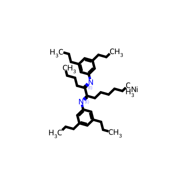 CCCCCCC(=N\c1cc(CCC)cc(CCC)c1)/C(CCCC)=N/c1cc(CCC)cc(CCC)c1.[Ni]